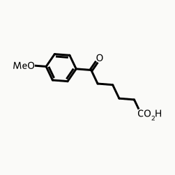 COc1ccc(C(=O)CCCCC(=O)O)cc1